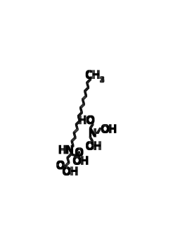 CCCCCCCCCCCCCCCCCCNC(CCC(=O)O)C(=O)O.OCCN(CCO)CCO